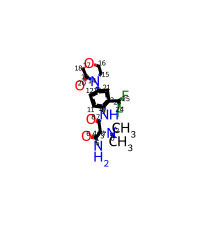 CN(C)[C@H](C(N)=O)C(=O)Nc1ccc(N2CCOCC2=O)cc1C(F)F